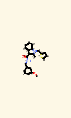 COc1cccc(CNC(=O)c2c(C)n(Cc3cccs3)c3ccccc23)c1